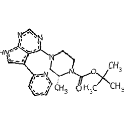 C[C@@H]1CN(c2ncnc3[nH]cc(-c4ccccn4)c23)CCN1C(=O)OC(C)(C)C